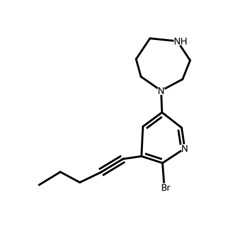 CCCC#Cc1cc(N2CCCNCC2)cnc1Br